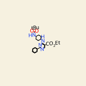 CCOC(=O)c1cnc(-c2ccccc2)nc1N[C@H]1CC[C@H](NC(=O)OC(C)(C)C)CC1